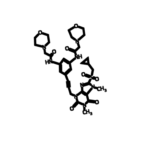 Cn1c(=O)c2c(nc(S(=O)(=O)CC3CC3)n2C)n(CC#Cc2cc(NC(=O)CN3CCOCC3)cc(NC(=O)CN3CCOCC3)c2)c1=O